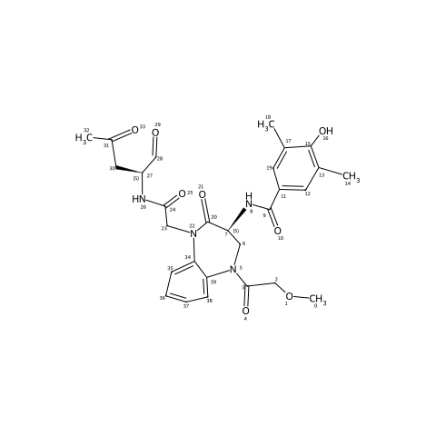 COCC(=O)N1C[C@H](NC(=O)c2cc(C)c(O)c(C)c2)C(=O)N(CC(=O)N[C@H](C=O)CC(C)=O)c2ccccc21